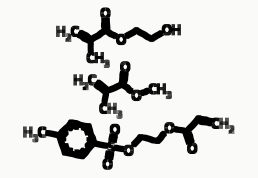 C=C(C)C(=O)OC.C=C(C)C(=O)OCCO.C=CC(=O)OCCOS(=O)(=O)c1ccc(C)cc1